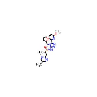 COc1cccc(-c2nnc(N[S+]([O-])C(C)Cc3ncc(C)cn3)n2CC2CCCO2)n1